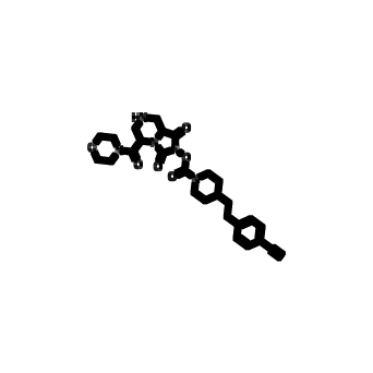 C#Cc1ccc(CCC2CCN(C(=O)ON3C(=O)C4CNCC(C(=O)N5CCOCC5)N4C3=O)CC2)cc1